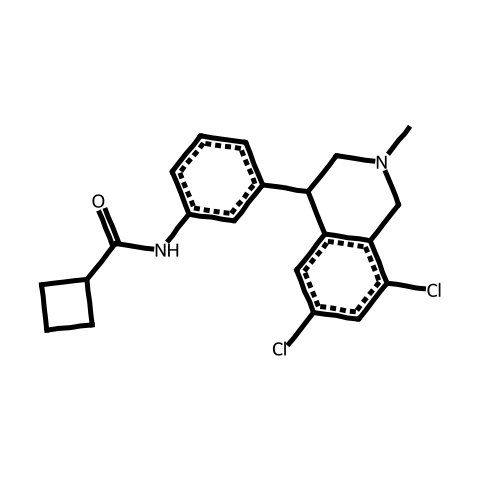 CN1Cc2c(Cl)cc(Cl)cc2C(c2cccc(NC(=O)C3CCC3)c2)C1